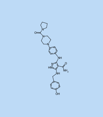 NC(=O)c1c(Nc2ccc(N3CCN(C(=O)N4CCCC4)CC3)cc2)n[nH]c1NCc1ccc(O)cc1